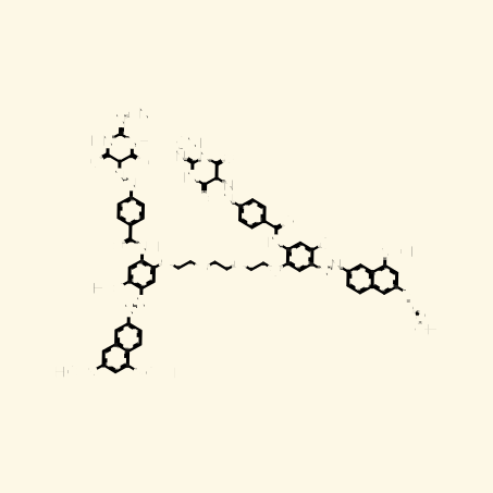 Cc1cc(NC(=O)c2ccc(/N=N/C3C(=O)NC(=NC#N)NC3=O)cc2)c(OCCOCCOCCOc2cc(/N=N/c3ccc4cc(SOOO)cc(S(=O)(=O)O)c4c3)c(C)cc2NC(=O)c2ccc(/N=N/C3C(=O)NC(=NC#N)NC3=O)cc2)cc1/N=N/c1ccc2c(S(=O)(=O)O)cc(S(=O)(=O)O)cc2c1